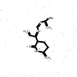 C=C/C(=N\C=N/C(=C)C(C)(C)C)C1CCC(=C)NC1=O